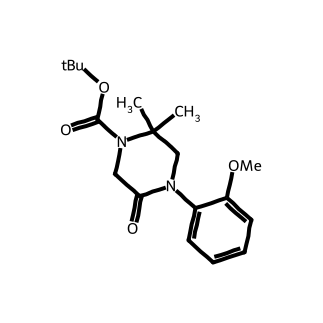 COc1ccccc1N1CC(C)(C)N(C(=O)OC(C)(C)C)CC1=O